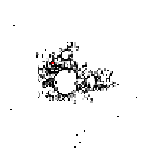 CCCNC[C@]1(O)[C@H](C)O[C@@H](OC2C(C)C(=O)OC(CC)C(C)(O)C(O)C(C)NCC(C)CC(C)(O)C(O[C@@H]3O[C@H](C)C[C@H](N(C)C)[C@H]3Oc3cccc(S(C)(=O)=O)c3)C2C)C[C@@]1(C)OC